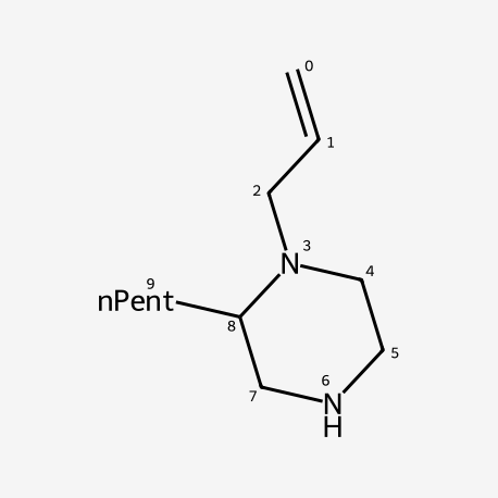 C=CCN1CCNCC1CCCCC